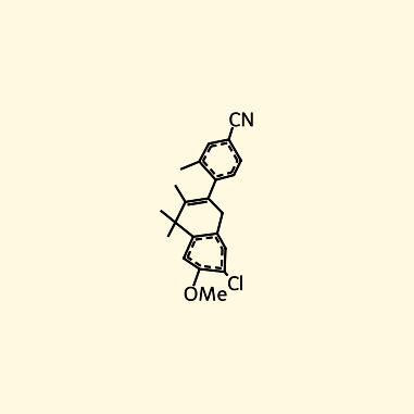 COc1cc2c(cc1Cl)CC(c1ccc(C#N)cc1C)=C(C)C2(C)C